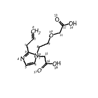 C=CCC1=NC=C[N+]1(CCOCC(=O)O)CC(=O)O